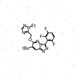 CCn1ncnc1COc1nn2c(-c3c(F)ccc(F)c3F)nnc2cc1C(C)(C)C